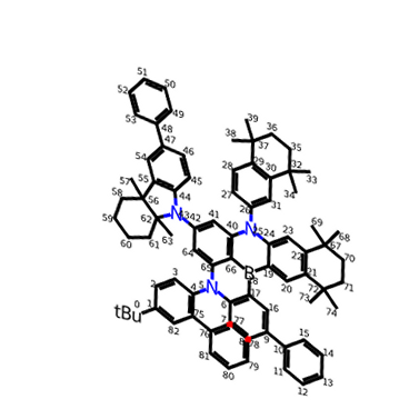 CC(C)(C)c1ccc(N2c3ccc(-c4ccccc4)cc3B3c4cc5c(cc4N(c4ccc6c(c4)C(C)(C)CCC6(C)C)c4cc(N6c7ccc(-c8ccccc8)cc7C7(C)CCCCC67C)cc2c43)C(C)(C)CCC5(C)C)c(-c2ccccc2)c1